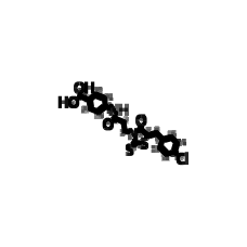 O=C(CCN1C(=O)/C(=C/c2ccc(Cl)cc2)SC1=S)Nc1ccc(C(O)O)cc1